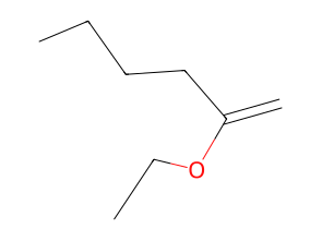 C=C(CCCC)OCC